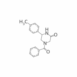 Cc1ccc(C2CN(C(=O)c3ccccc3)CC(=O)N2)cc1